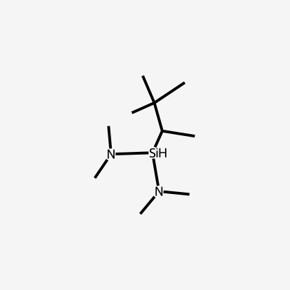 CC([SiH](N(C)C)N(C)C)C(C)(C)C